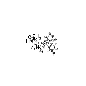 CS(=O)(=O)N[C@@H]1CCN(C(=O)[C@@H]2C[C@H]2c2cc(F)ccc2-c2c(F)cccc2F)C1